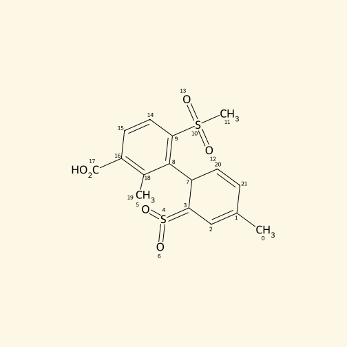 CC1=CC(=S(=O)=O)C(c2c(S(C)(=O)=O)ccc(C(=O)O)c2C)C=C1